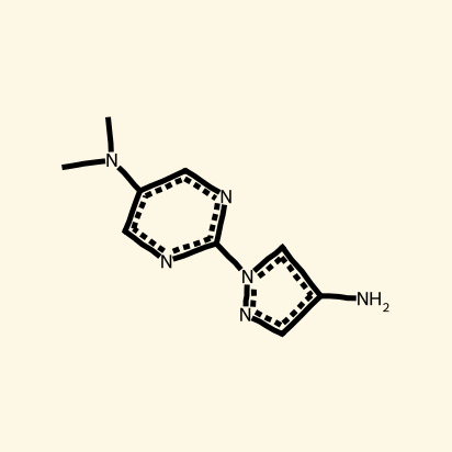 CN(C)c1cnc(-n2cc(N)cn2)nc1